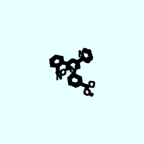 COC(=O)c1cccc(-n2cc(-c3ccccn3)cc(-c3ccccc3C#N)c2=O)c1